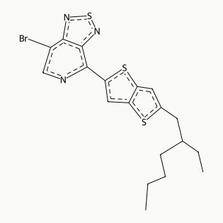 CCCCC(CC)Cc1cc2sc(-c3ncc(Br)c4nsnc34)cc2s1